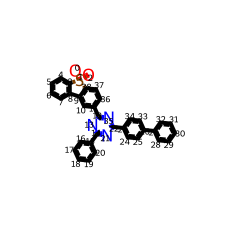 O=S1(=O)c2ccccc2-c2cc(-c3nc(-c4ccccc4)nc(-c4ccc(-c5ccccc5)cc4)n3)ccc21